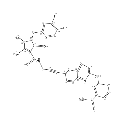 CNC(=O)C1=CC(Nc2ncc3cc(C#CCNC(=O)c4c(C)n(C)n(Cc5ccc(F)c(F)c5)c4=O)ccc3n2)CC=C1